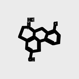 Cl.Oc1cc2c3c(c1)-c1cccc(Cl)c1CC3NCC2